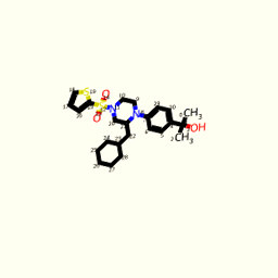 CC(C)(O)c1ccc(N2CCN(S(=O)(=O)c3cccs3)CC2CC2CCCCC2)cc1